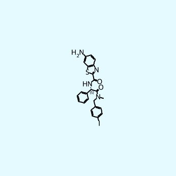 CN(Cc1ccc(I)cc1)C(=O)[C@@H](NC(=O)c1nc2ccc(N)cc2s1)c1ccccc1